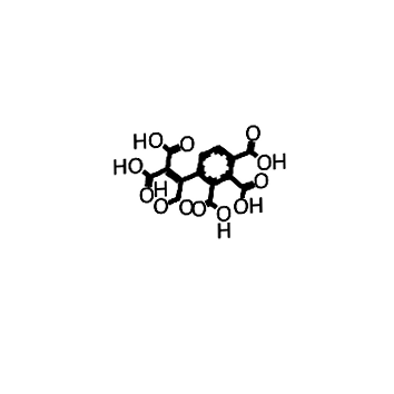 O=C(O)C(C(=O)O)=C(C(=O)O)c1ccc(C(=O)O)c(C(=O)O)c1C(=O)O